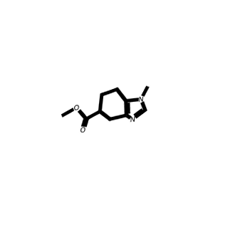 COC(=O)C1CCc2c(ncn2C)C1